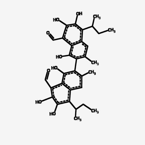 CCC(C)c1c(O)c(O)c(C=O)c2c(O)c(-c3c(C)cc4c(C(C)CC)c(O)c(O)c(C=O)c4c3O)c(C)cc12